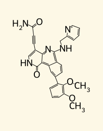 COc1cccc(-c2ccc3c(NCc4ccccn4)nc4c(C#CC(N)=O)c[nH]c(=O)c4c3c2)c1OC